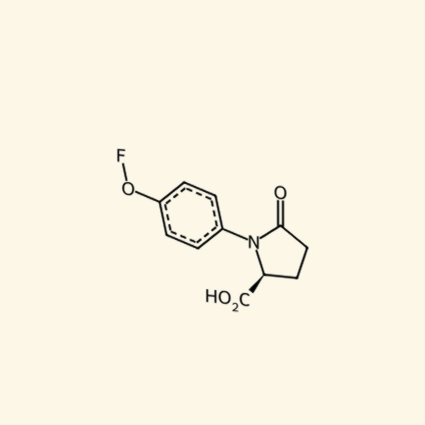 O=C(O)[C@@H]1CCC(=O)N1c1ccc(OF)cc1